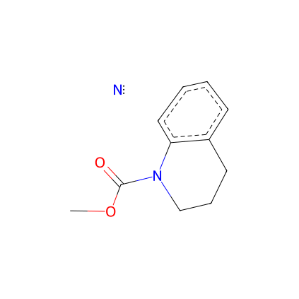 COC(=O)N1CCCc2ccccc21.[N]